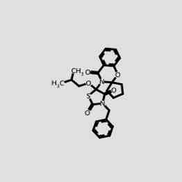 CC(C)COC1(N2C(=O)c3ccccc3OC23CCCC3)SC(=O)N(Cc2ccccc2)C1=O